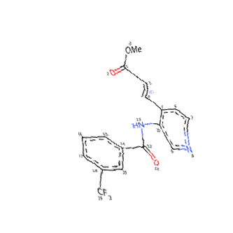 COC(=O)/C=C/c1ccncc1NC(=O)c1cccc(C(F)(F)F)c1